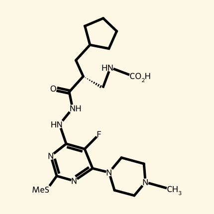 CSc1nc(NNC(=O)[C@@H](CNC(=O)O)CC2CCCC2)c(F)c(N2CCN(C)CC2)n1